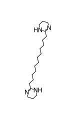 C(CCCCCCC1=NCCCN1)CCCCCC1=NCCCN1